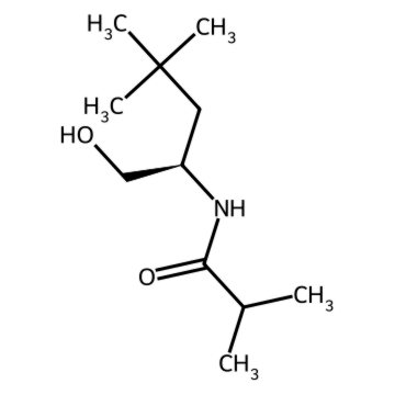 CC(C)C(=O)N[C@@H](CO)CC(C)(C)C